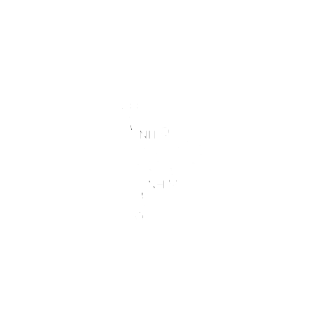 O=C1c2ccccc2C(=O)c2c(NC[C@H]3CO3)ccc(NC[C@H]3CO3)c21